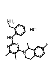 Cc1nc(Nc2ccccc2CN)nc(N2CCc3ccc(F)cc3C2C)c1C.Cl